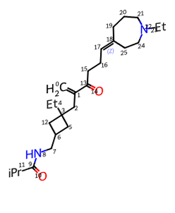 C=C(CC1(CC)CC(CNC(=O)C(C)C)C1)C(=O)CC/C=C1/CCCN(CC)CC1